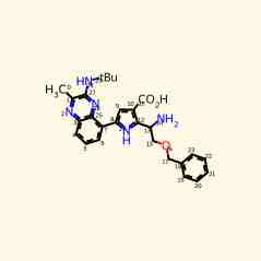 Cc1nc2cccc(-c3cc(C(=O)O)c(C(N)COCc4ccccc4)[nH]3)c2nc1NC(C)(C)C